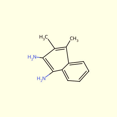 Cc1c(N)c(N)c2ccccc2c1C